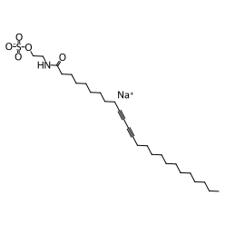 CCCCCCCCCCCCC#CC#CCCCCCCCCC(=O)NCCOS(=O)(=O)[O-].[Na+]